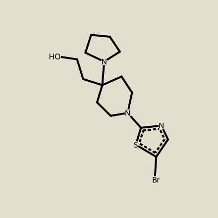 OCCC1(N2CCCC2)CCN(c2ncc(Br)s2)CC1